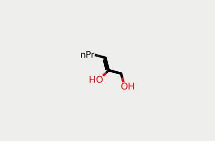 CCCC=C(O)CO